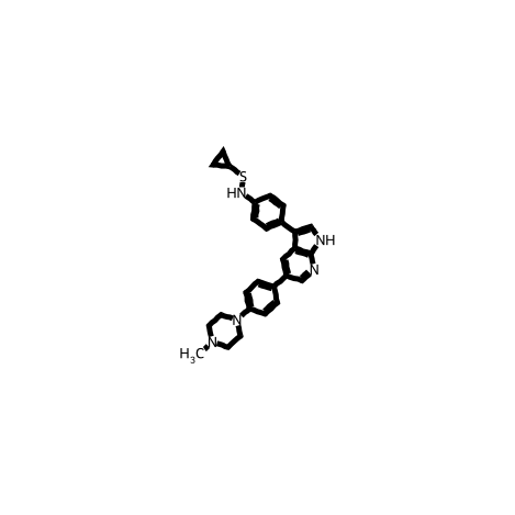 CN1CCN(c2ccc(-c3cnc4[nH]cc(-c5ccc(NSC6CC6)cc5)c4c3)cc2)CC1